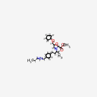 CCCCNCc1ccc(CC[C@@H](C)N2CC(COc3ccccc3)OC2C(=O)OC)cc1